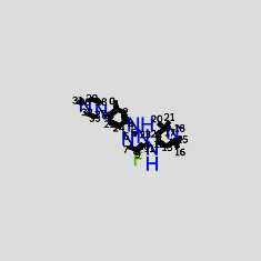 Cc1cc(Nc2ncc(F)c(NC3CC(C)(C)N(C)C(C)(C)C3)n2)ccc1N1CCN(C)CC1